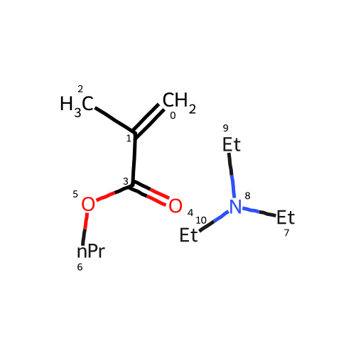 C=C(C)C(=O)OCCC.CCN(CC)CC